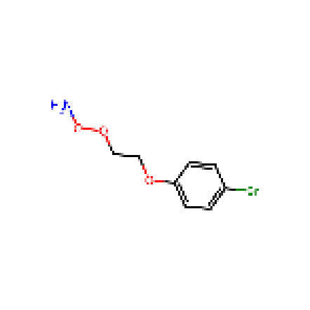 NOOCCOc1ccc(Br)cc1